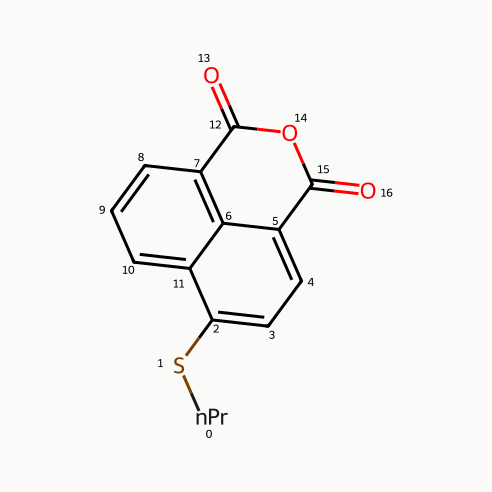 CCCSc1ccc2c3c(cccc13)C(=O)OC2=O